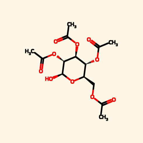 CC(=O)OC[C@H]1O[C@@H](O)[C@H](OC(C)=O)[C@@H](OC(C)=O)[C@@H]1OC(C)=O